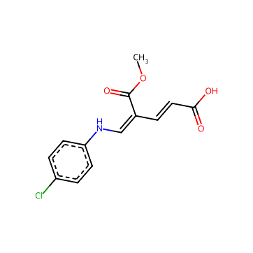 COC(=O)C(C=CC(=O)O)=CNc1ccc(Cl)cc1